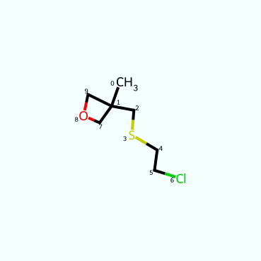 CC1(CSCCCl)COC1